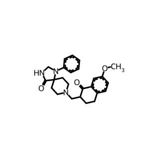 COc1ccc2c(c1)C(=O)C(CN1CCC3(CC1)C(=O)NCN3c1ccccc1)CC2